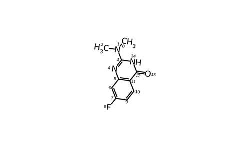 CN(C)c1nc2cc(F)ccc2c(=O)[nH]1